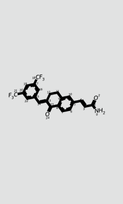 NC(=O)/C=C/c1ccc2c(c1)CC/C(=C\c1cc(C(F)(F)F)cc(C(F)(F)F)c1)C2=O